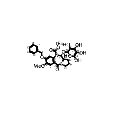 COc1cc2c(cc1OCc1ccccc1)N(C(=O)OC(C)(C)C)[C@@H](OC1OC(O)=C(O)C(O)=C1O)[C@@H]1CCCN1C2=O